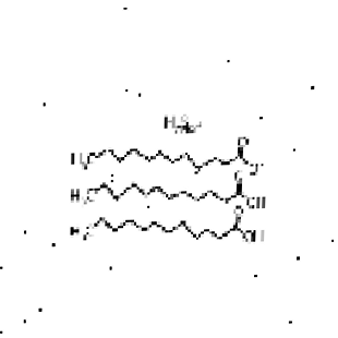 CCCCCCCCCCCC(=O)O.CCCCCCCCCCCC(=O)O.CCCCCCCCCCCC(=O)[O-].S.[Na+]